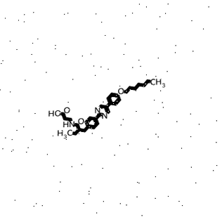 CCCCCCCOc1ccc(-c2cnc(-c3ccc(CC(CC)C(=O)NCCC(=O)O)cc3)nc2)cc1